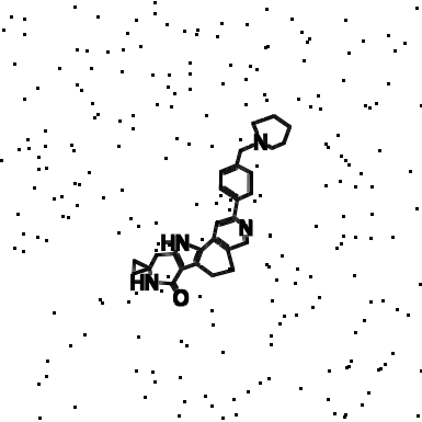 O=C1NC2(CC2)Cc2[nH]c3c(c21)CCc1cnc(-c2ccc(CN4CCCCC4)cc2)cc1-3